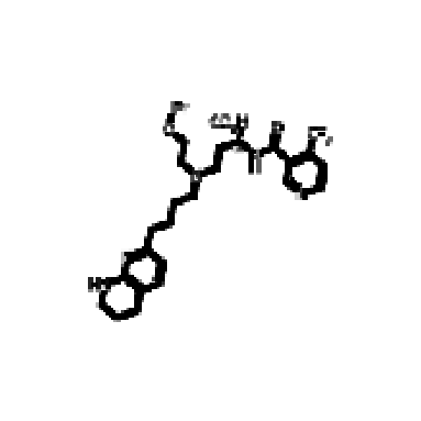 CC(C)OCCN(CCCCc1ccc2c(n1)NCCC2)CC[C@H](NC(=O)c1cnccc1C(F)(F)F)C(=O)O